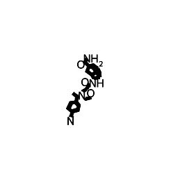 CC(c1ccc(C#N)cc1)N1CCOC(C(=O)NC2C3CC4CC2CC(C(N)=O)(C4)C3)C1